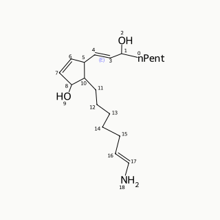 CCCCCC(O)/C=C/C1C=CC(O)C1CCCCCC=CN